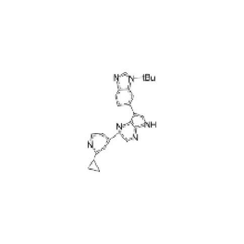 CC(C)(C)n1cnc2ccc(-c3c[nH]c4ncc(-c5ccnc(C6CC6)c5)nc34)cc21